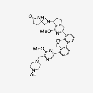 COc1nc(-c2cccc(-c3cccc(-c4cc5c(c(OC)n4)C(N4CC6(CCC(=O)N6)C4)CC5)c3Cl)c2F)cnc1CN1CCN(C(C)=O)CC1